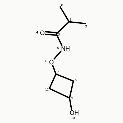 CC(C)C(=O)NOC1CC(O)C1